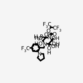 BC1(O)N(C(=O)OC(C(F)(F)F)C(F)(F)F)C(O)(O)C(O)(O)N(Cc2ccc(C(F)(F)F)cc2N2CCCC2)C1(O)O